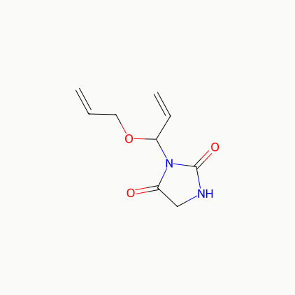 C=CCOC(C=C)N1C(=O)CNC1=O